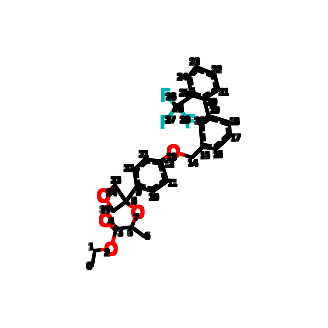 CCOC(=O)C(C)OC1(c2ccc(OCc3cccc(-c4ccccc4C(F)(F)F)c3)cc2)COC1